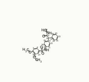 COc1ccc(S(=O)(=O)Nc2ccc(C(C(=O)NO)c3ccccc3)cc2)cc1OC